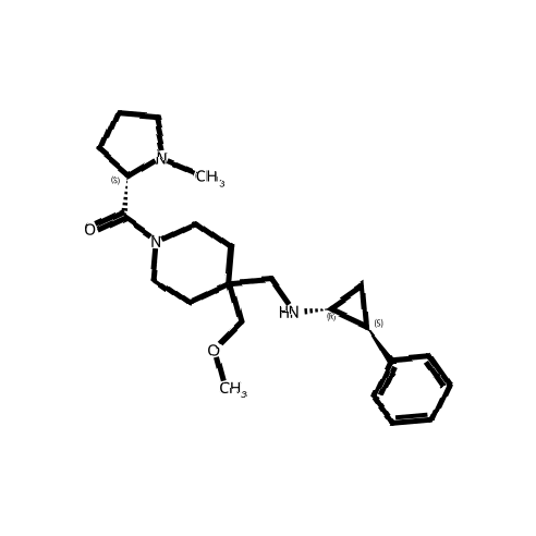 COCC1(CN[C@@H]2C[C@H]2c2ccccc2)CCN(C(=O)[C@@H]2CCCN2C)CC1